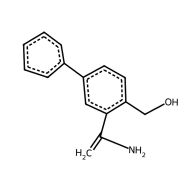 C=C(N)c1cc(-c2ccccc2)ccc1CO